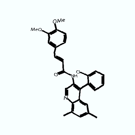 COc1ccc(/C=C/C(=O)Nc2cnc3c(C)cc(C)cc3c2-c2ccccc2Cl)cc1OC